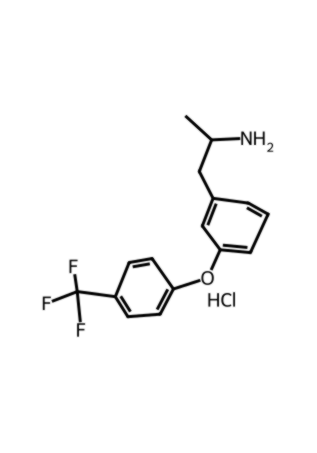 CC(N)Cc1cccc(Oc2ccc(C(F)(F)F)cc2)c1.Cl